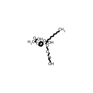 C=C(C)C(=O)O.CCCCCCCCCC(O)(COCCOCCOCCO)Oc1ccccc1